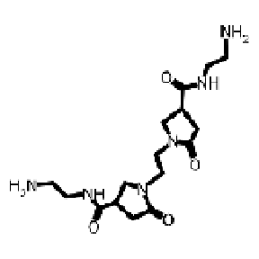 NCCNC(=O)C1CC(=O)N(CCN2CC(C(=O)NCCN)CC2=O)C1